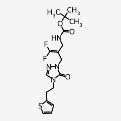 CC(C)(C)OC(=O)NCC(Cn1ncn(CCc2cccs2)c1=O)=C(F)F